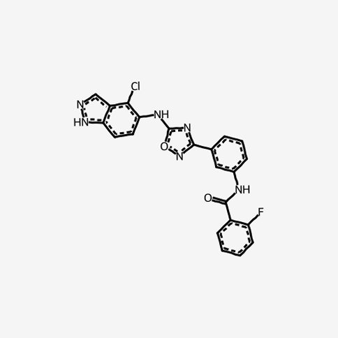 O=C(Nc1cccc(-c2noc(Nc3ccc4[nH]ncc4c3Cl)n2)c1)c1ccccc1F